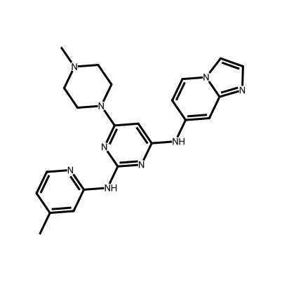 Cc1ccnc(Nc2nc(Nc3ccn4ccnc4c3)cc(N3CCN(C)CC3)n2)c1